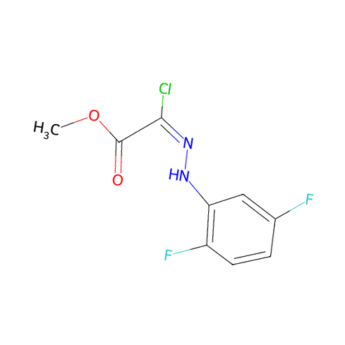 COC(=O)/C(Cl)=N\Nc1cc(F)ccc1F